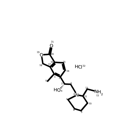 Cc1c([C@@H](O)CN2CCCCC2CN)ccc2c1COC2=O.Cl